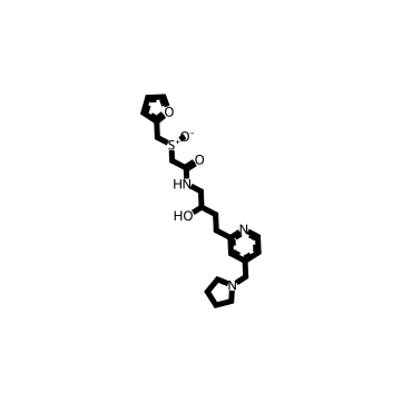 O=C(C[S+]([O-])Cc1ccco1)NCC(O)CCc1cc(CN2CCCC2)ccn1